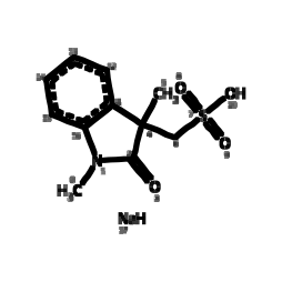 CN1C(=O)C(C)(CS(=O)(=O)O)c2ccccc21.[NaH]